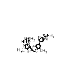 Cc1cc(-c2cnc3sc(N)nc3c2)cc2c1OCCN(c1nc(NS(C)(=O)=O)nc(C)c1C(C)C)C2